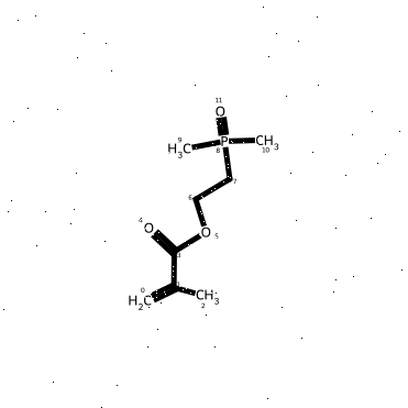 C=C(C)C(=O)OCCP(C)(C)=O